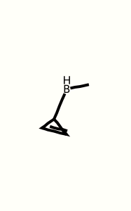 CBC1C=C1